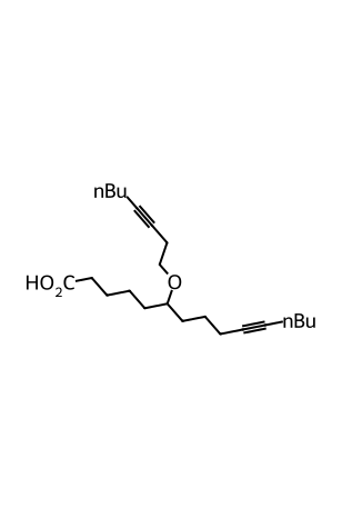 CCCCC#CCCCC(CCCCC(=O)O)OCCC#CCCCC